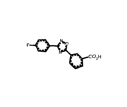 O=C(O)c1cccc(-c2nc(-c3ccc(F)cc3)no2)c1